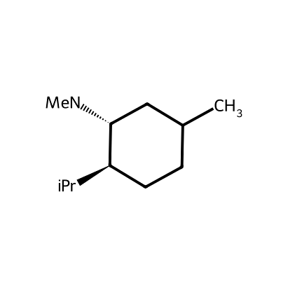 CN[C@@H]1CC(C)CC[C@H]1C(C)C